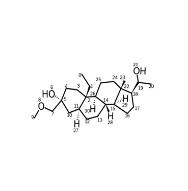 CC[C@]12CC[C@](O)(COC)C[C@@H]1CC[C@H]1[C@@H]3CC[C@H](C(C)O)[C@@]3(C)CC[C@@H]12